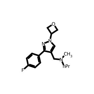 CCCN(C)Cc1cn(C2COC2)nc1-c1ccc(F)cc1